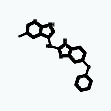 Cc1cnc2[nH]cc(Nc3nc4cc(Oc5ccccc5)ccc4[nH]3)c2c1